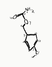 CSc1ccc(COC(N)=O)cc1